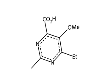 CCc1nc(C)nc(C(=O)O)c1OC